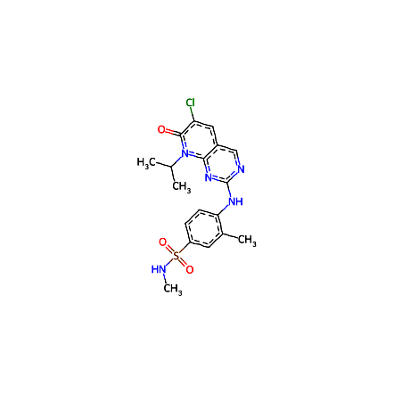 CNS(=O)(=O)c1ccc(Nc2ncc3cc(Cl)c(=O)n(C(C)C)c3n2)c(C)c1